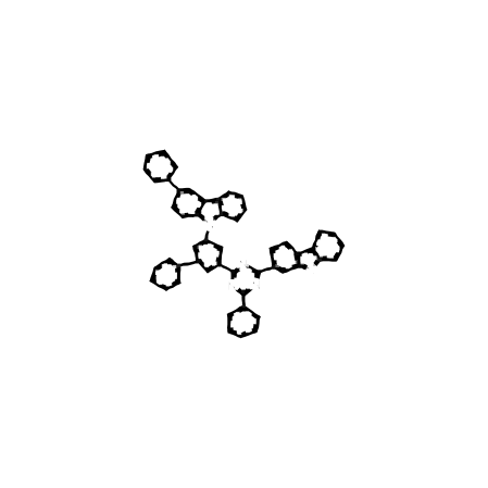 c1ccc(-c2cc(-c3nc(-c4ccccc4)nc(-c4ccc5c(c4)sc4ccccc45)n3)cc(-n3c4ccccc4c4cc(-c5ccccc5)ccc43)c2)cc1